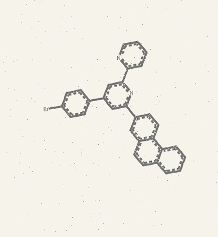 Brc1ccc(-c2cc(-c3ccc4c(ccc5ccccc54)c3)nc(-c3ccccn3)c2)cc1